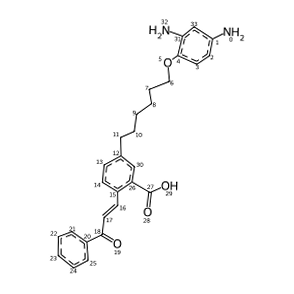 Nc1ccc(OCCCCCCc2ccc(C=CC(=O)c3ccccc3)c(C(=O)O)c2)c(N)c1